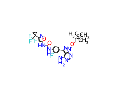 C[Si](C)(C)CCOCn1nc(-c2ccc(NC(=O)Nc3cc(C4(C(F)(F)F)CC4)no3)c(F)c2)c2c(N)ncnc21